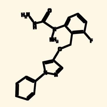 NNC(=O)N(N)c1cccc(F)c1COc1cnn(-c2ccccc2)c1